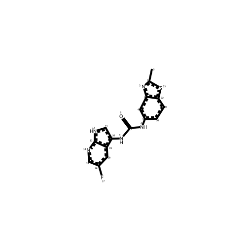 Cc1nc2cc(NC(=O)Nc3c[nH]c4ncc(F)cc34)ccc2s1